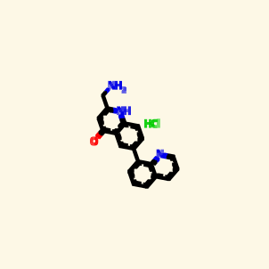 Cl.NCc1cc(=O)c2cc(-c3cccc4cccnc34)ccc2[nH]1